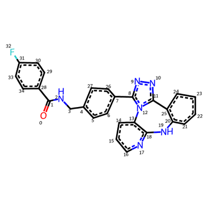 O=C(NCc1ccc(-c2nnc3n2-c2cccnc2Nc2ccccc2-3)cc1)c1ccc(F)cc1